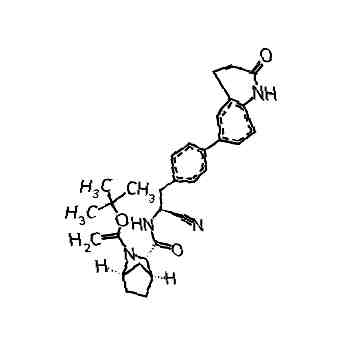 C=C(OC(C)(C)C)N1[C@@H]2CC[C@@H](C2)[C@H]1C(=O)N[C@H](C#N)Cc1ccc(-c2ccc3c(c2)CCC(=O)N3)cc1